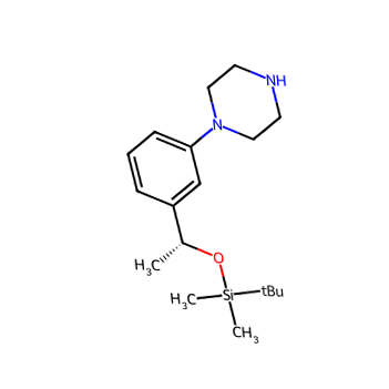 C[C@@H](O[Si](C)(C)C(C)(C)C)c1cccc(N2CCNCC2)c1